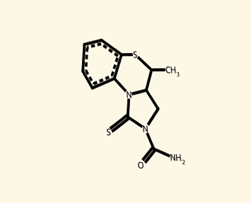 CC1Sc2ccccc2N2C(=S)N(C(N)=O)CC12